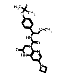 COCC(NC(=O)N1CC(=O)Nc2cc(N3CCC3)cnc21)c1ccc(OC(C)(C)F)cc1